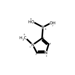 Cn1cncc1B(O)O